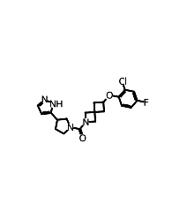 O=C(N1CCC(c2ccn[nH]2)C1)N1CC2(CC(Oc3ccc(F)cc3Cl)C2)C1